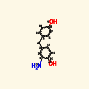 Nc1cc(Cc2ccc(O)cc2)ccc1O